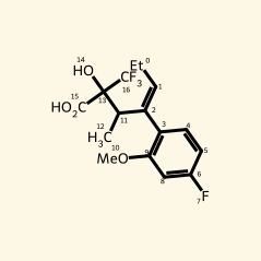 CCC=C(c1ccc(F)cc1OC)C(C)C(O)(C(=O)O)C(F)(F)F